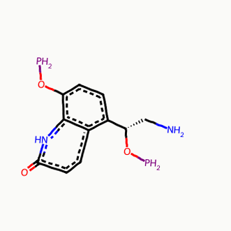 NC[C@H](OP)c1ccc(OP)c2[nH]c(=O)ccc12